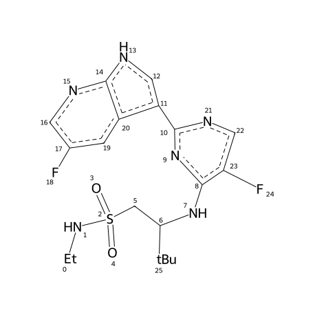 CCNS(=O)(=O)CC(Nc1nc(-c2c[nH]c3ncc(F)cc23)ncc1F)C(C)(C)C